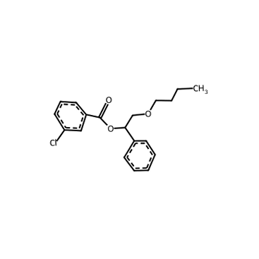 CCCCOCC(OC(=O)c1cccc(Cl)c1)c1ccccc1